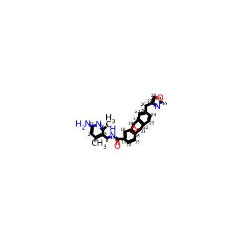 Cc1cc(N)nc(C)c1CNC(=O)c1ccc2c(c1)C1OC2c2ccc(Cc3cocn3)cc21